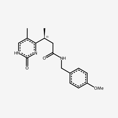 COc1ccc(CNC(=O)C[C@H](C)c2nc(=O)[nH]cc2C)cc1